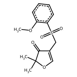 COc1ccccc1S(=O)(=O)CC1=COC(C)(C)C1=O